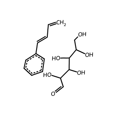 C=CC=Cc1ccccc1.O=CC(O)C(O)C(O)C(O)CO